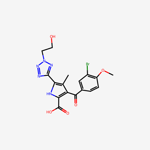 COc1ccc(C(=O)c2c(C(=O)O)[nH]c(-c3nnn(CCO)n3)c2C)cc1Br